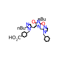 CCCCc1ncc(C=C2C(=O)N(CCCC)C(=O)N2Cc2nccn2Cc2ccccc2)n1Cc1ccc(C(=O)O)cc1